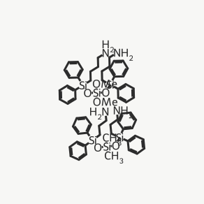 CO[Si](OC)(O[Si](CCCCN)(c1ccccc1)c1ccccc1)O[Si](CCCCN)(c1ccccc1)c1ccccc1.C[Si](C)(O[Si](CCCN)(c1ccccc1)c1ccccc1)O[Si](CCCN)(c1ccccc1)c1ccccc1